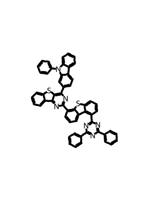 c1ccc(-c2nc(-c3ccccc3)nc(-c3cccc4sc5c(-c6nc(-c7ccc8c9ccccc9n(-c9ccccc9)c8c7)c7sc8ccccc8c7n6)cccc5c34)n2)cc1